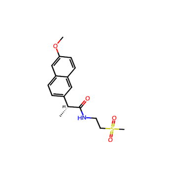 COc1ccc2cc([C@@H](C)C(=O)NCCS(C)(=O)=O)ccc2c1